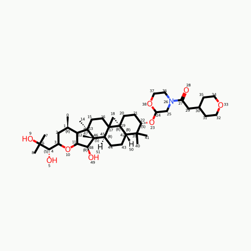 C[C@@H]1CC([C@H](O)C(C)(C)O)OC2C1[C@@]1(C)CCC34C[C@@]35CC[C@H](OC3CN(C(=O)CC6CCOCC6)CCO3)C(C)(C)[C@@H]5CC[C@H]4[C@]1(C)[C@H]2O